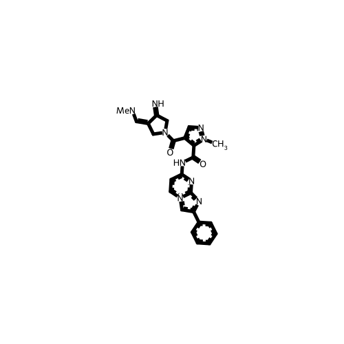 CN/C=C1/CN(C(=O)c2cnn(C)c2C(=O)Nc2ccn3cc(-c4ccccc4)nc3n2)CC1=N